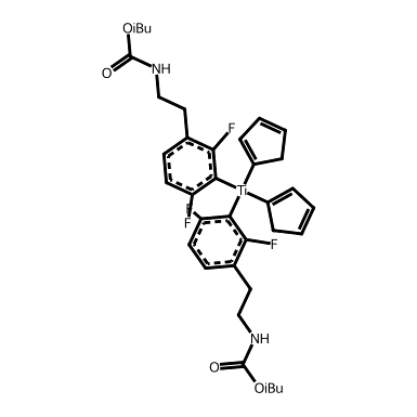 CC(C)COC(=O)NCCc1ccc(F)[c]([Ti]([C]2=CC=CC2)([C]2=CC=CC2)[c]2c(F)ccc(CCNC(=O)OCC(C)C)c2F)c1F